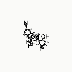 N#Cc1ccc(CC(O)(CC2(c3cc(F)ccc3O)CC2)C(F)(F)F)c(Cl)c1